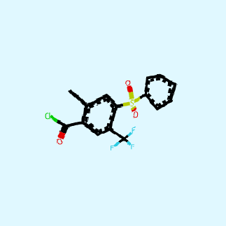 Cc1cc(S(=O)(=O)c2ccccc2)c(C(F)(F)F)cc1C(=O)Cl